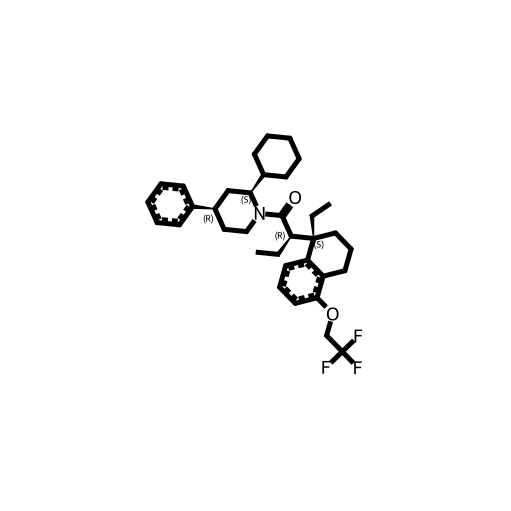 CC[C@@H](C(=O)N1CC[C@@H](c2ccccc2)C[C@H]1C1CCCCC1)[C@]1(CC)CCCc2c(OCC(F)(F)F)cccc21